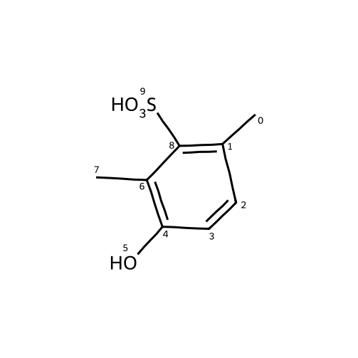 Cc1ccc(O)c(C)c1S(=O)(=O)O